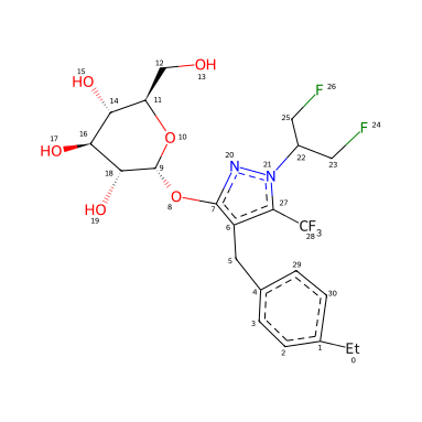 CCc1ccc(Cc2c(O[C@H]3O[C@H](CO)[C@@H](O)[C@H](O)[C@H]3O)nn(C(CF)CF)c2C(F)(F)F)cc1